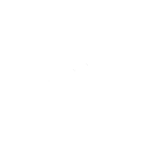 CCOC(CC1CC(c2ccc(Br)cn2)=NO1)OCC